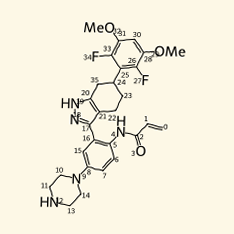 C=CC(=O)Nc1ccc(N2CCNCC2)cc1-c1n[nH]c2c1CCC(c1c(F)c(OC)cc(OC)c1F)C2